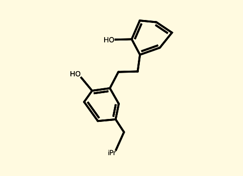 CC(C)Cc1ccc(O)c(CCc2ccccc2O)c1